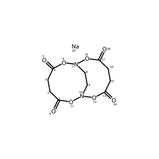 O=C1CCC(=O)ON2CCN(O1)OC(=O)CCC(=O)O2.[Na]